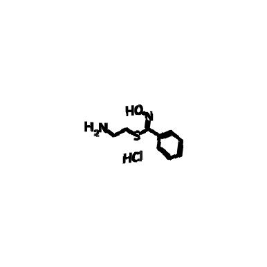 Cl.NCCSC(=NO)c1ccccc1